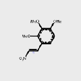 COc1ccc(/C=C/[N+](=O)[O-])c(OC)c1OC